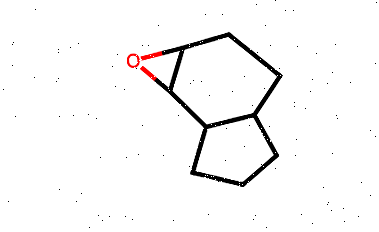 C1CC2CCC3OC3C2C1